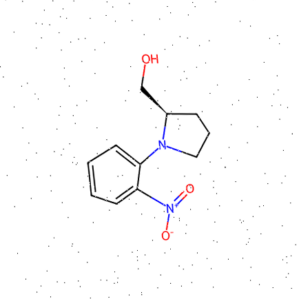 O=[N+]([O-])c1ccccc1N1CCC[C@@H]1CO